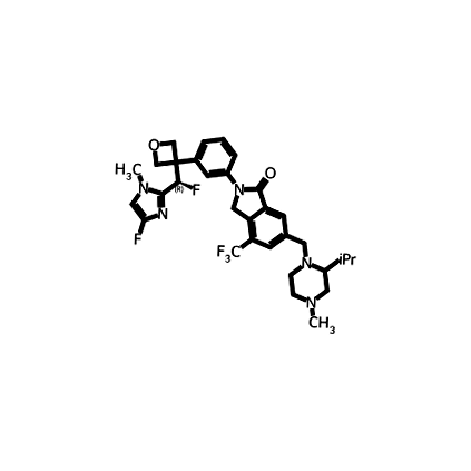 CC(C)C1CN(C)CCN1Cc1cc2c(c(C(F)(F)F)c1)CN(c1cccc(C3([C@@H](F)c4nc(F)cn4C)COC3)c1)C2=O